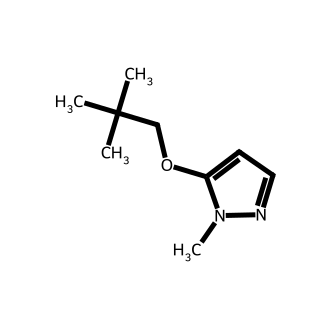 Cn1nccc1OCC(C)(C)C